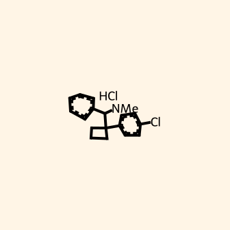 CNC(c1ccccc1)C1(c2ccc(Cl)cc2)CCC1.Cl